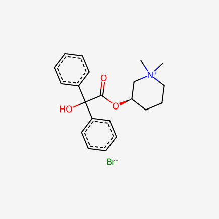 C[N+]1(C)CCC[C@@H](OC(=O)C(O)(c2ccccc2)c2ccccc2)C1.[Br-]